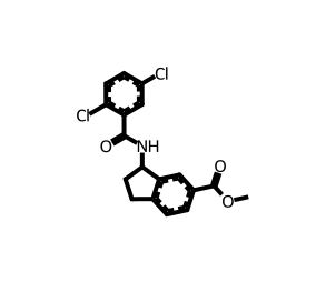 COC(=O)c1ccc2c(c1)C(NC(=O)c1cc(Cl)ccc1Cl)CC2